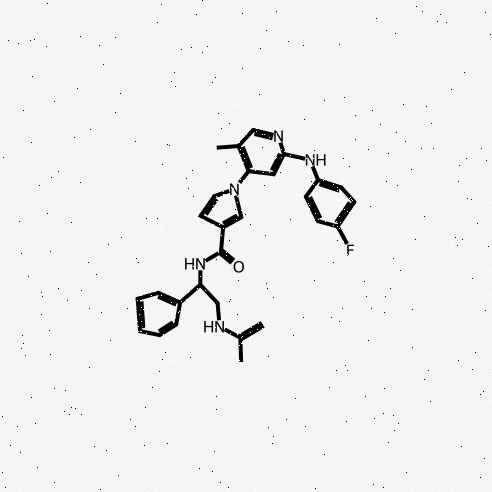 C=C(C)NCC(NC(=O)c1ccn(-c2cc(Nc3ccc(F)cc3)ncc2C)c1)c1ccccc1